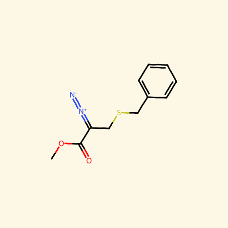 COC(=O)C(CSCc1ccccc1)=[N+]=[N-]